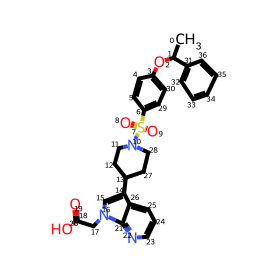 CC(Oc1ccc(S(=O)(=O)N2CCC(c3cn(CC(=O)O)c4ncccc34)CC2)cc1)c1ccccc1